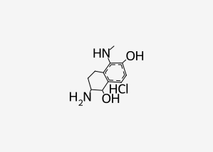 CNc1c(O)ccc2c1CCC(N)C2O.Cl